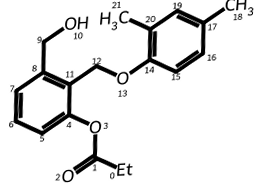 CCC(=O)Oc1cccc(CO)c1COc1ccc(C)cc1C